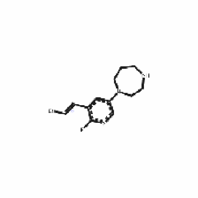 CC/C=C/c1cc(N2CCCNCC2)cnc1F